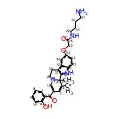 CC1=CC(C(=O)c2ccccc2O)=CN2CCc3c([nH]c4ccc(OCC(=O)NCCCCN)cc34)C12C